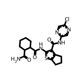 NC(=O)C1CCCCC1C(=O)Nc1sc2c(c1C(=O)Nc1cnc(Cl)cn1)CCC2